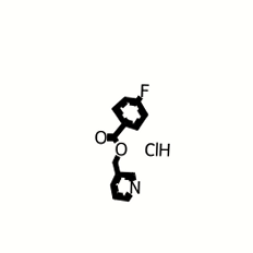 Cl.O=C(OCc1cccnc1)c1ccc(F)cc1